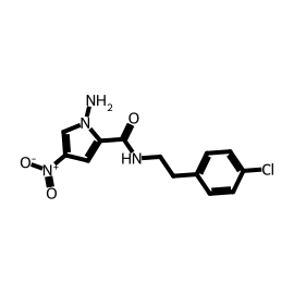 Nn1cc([N+](=O)[O-])cc1C(=O)NCCc1ccc(Cl)cc1